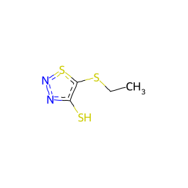 CCSc1snnc1S